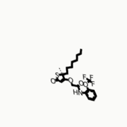 CCCCCCCC[C@]1(C)SC(=O)C=C1OCC(=O)Nc1ccccc1OC(F)(F)F